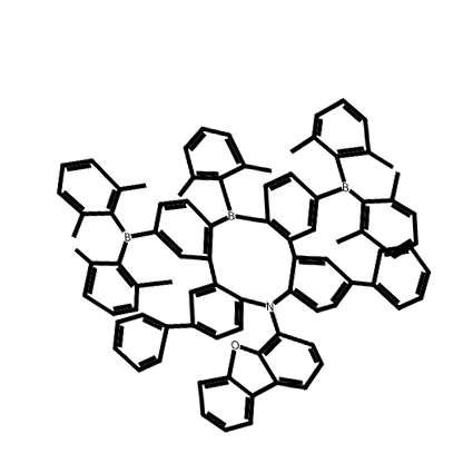 Cc1cccc(C)c1B1c2ccc(B(c3c(C)cccc3C)c3c(C)cccc3C)cc2-c2cc(-c3ccccc3)ccc2N(c2cccc3c2oc2ccccc23)c2ccc(-c3ccccc3)cc2-c2cc(B(c3c(C)cccc3C)c3c(C)cccc3C)ccc21